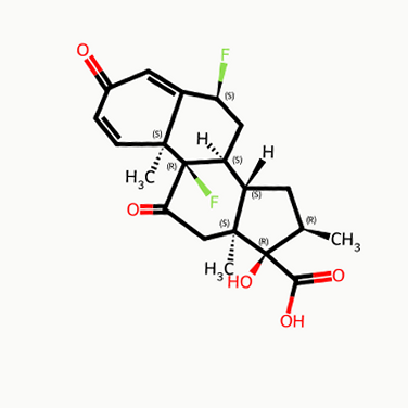 C[C@@H]1C[C@H]2[C@@H]3C[C@H](F)C4=CC(=O)C=C[C@]4(C)[C@@]3(F)C(=O)C[C@]2(C)[C@@]1(O)C(=O)O